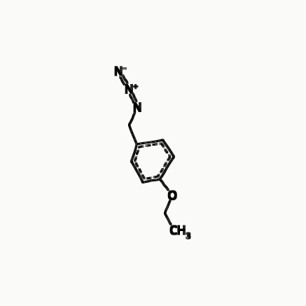 CCOc1ccc(CN=[N+]=[N-])cc1